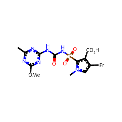 COc1nc(C)nc(NC(=O)NS(=O)(=O)c2c(C(=O)O)c(C(C)C)cn2C)n1